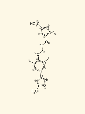 Cc1cc(-c2noc(C(F)(F)F)n2)cc(C)c1OCCOc1cc(C(=O)O)nn1C